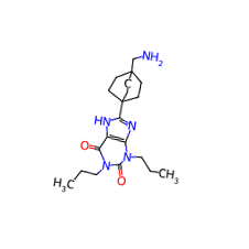 CCCn1c(=O)c2[nH]c(C34CCC(CN)(CC3)CC4)nc2n(CCC)c1=O